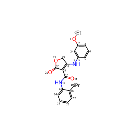 CCOc1cccc(NC2=C(C(=O)Nc3ccccc3C(C)C)C(=O)OC2)c1